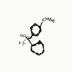 COc1ccc([C@](O)(c2ccccc2)C(F)(F)F)cc1